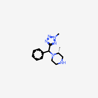 C[C@@H]1CNCCN1C(c1ccccc1)c1nnn(C)n1